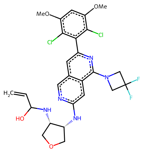 C=CC(O)N[C@H]1COC[C@H]1Nc1cc2c(N3CC(F)(F)C3)nc(-c3c(Cl)c(OC)cc(OC)c3Cl)cc2cn1